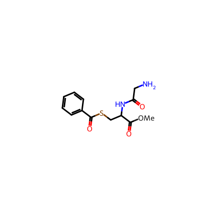 COC(=O)C(CSC(=O)c1ccccc1)NC(=O)CN